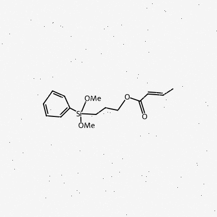 CC=CC(=O)OCCC[Si](OC)(OC)c1ccccc1